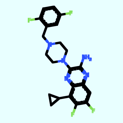 Nc1nc2cc(F)c(F)c(C3CC3)c2nc1N1CCN(Cc2cc(F)ccc2F)CC1